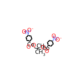 CC(C)(C[O][Co](=[O])[c]1ccc([N+](=O)[O-])cc1)C[O][Co](=[O])[c]1ccc([N+](=O)[O-])cc1